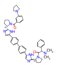 CN(C)C(C(=O)N1CCC[C@H]1c1ncc(-c2ccc(-c3ccc(-c4cnc([C@@H]5CCCN5C(=O)c5cccc(N6CCCC6)c5)[nH]4)cc3)cc2)[nH]1)c1ccccc1